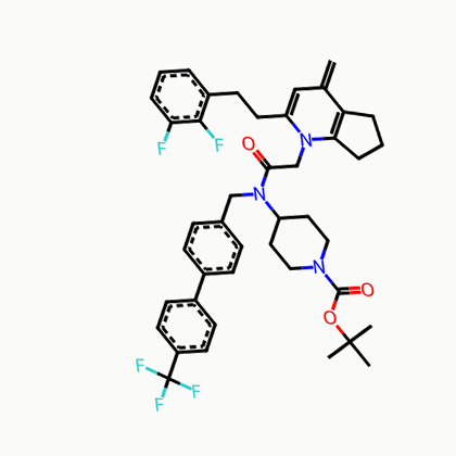 C=C1C=C(CCc2cccc(F)c2F)N(CC(=O)N(Cc2ccc(-c3ccc(C(F)(F)F)cc3)cc2)C2CCN(C(=O)OC(C)(C)C)CC2)C2=C1CCC2